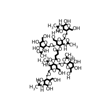 CC(=O)NC1[C@H](COC[C@@H]2C(CO)O[C@@H](COC[C@@H]3C(CO)O[C@@H](O)C(NC(C)=O)[C@H]3O)C(NC(C)=O)[C@H]2OC(=O)CCC(=O)O[C@@H]2C(NC(C)=O)[C@H](COC[C@@H]3C(CO)O[C@@H](O)C(NC(C)=O)[C@H]3O)OC(CO)[C@H]2COC[C@@H]2OC(CO)[C@@H](O)[C@H](O)C2NC(C)=O)OC(CO)[C@@H](O)[C@@H]1O